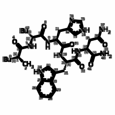 CC[C@H](C)[C@H](C)C(=O)N[C@H](C(=O)N[C@@H](Cc1c[nH]cn1)C(=O)N[C@@H](Cc1c[nH]c2ccccc12)C(=O)N[C@@H](CC(N)=O)C(N)=O)[C@@H](C)CC